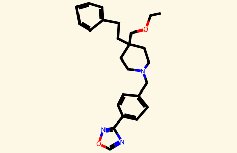 CCOCC1(CCc2ccccc2)CCN(Cc2ccc(-c3ncon3)cc2)CC1